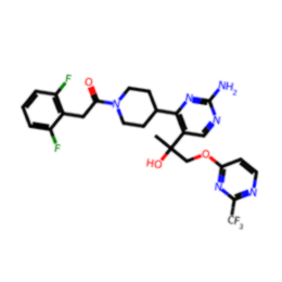 CC(O)(COc1ccnc(C(F)(F)F)n1)c1cnc(N)nc1C1CCN(C(=O)Cc2c(F)cccc2F)CC1